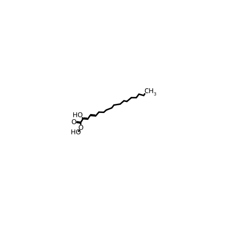 CCCCCCCCCCCCCC=CC=C(O)C(=O)OO